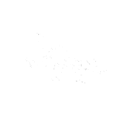 CSCC[C@@H](NC(=O)[C@H](CCC(N)=O)NC(=O)[C@H](CCCNC(=N)N)NC(=O)[C@@H](N)CCCCN)C(=O)N[C@@H](CCC(=O)O)C(=O)N[C@@H](CCC(=O)O)C(=O)O